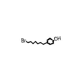 Oc1ccc(CCCCCCCBr)cc1